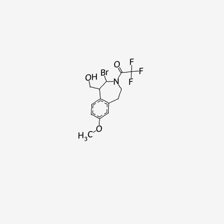 COc1ccc2c(c1)CCN(C(=O)C(F)(F)F)C(Br)C2CO